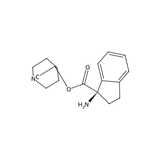 N[C@]1(C(=O)OC2CN3CCC2CC3)CCc2ccccc21